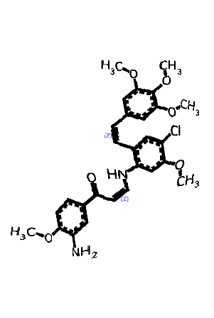 COc1ccc(C(=O)/C=C\Nc2cc(OC)c(Cl)cc2/C=C\c2cc(OC)c(OC)c(OC)c2)cc1N